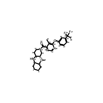 COC1CCCCC1NC1CCN(C(=O)c2ncnc(Oc3cccc(C(F)(F)F)c3)c2C)CC1